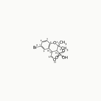 CC1(C)Oc2ccc(Br)cc2C(C=O)C1S(=O)(=O)O